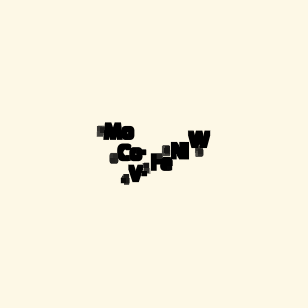 [Co].[Fe].[Mo].[Ni].[V].[W]